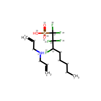 C=CCNCC=C.CCCCCC(F)C(F)(F)C(F)(F)S(=O)(=O)O